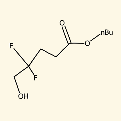 CCCCOC(=O)CCC(F)(F)CO